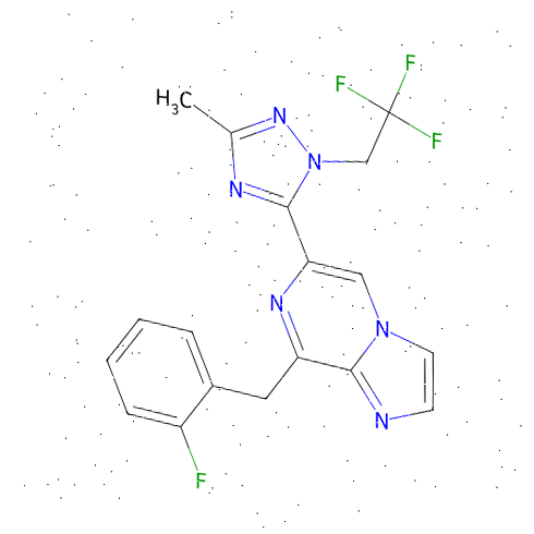 Cc1nc(-c2cn3ccnc3c(Cc3ccccc3F)n2)n(CC(F)(F)F)n1